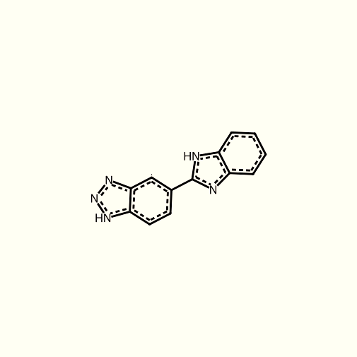 [c]1c(-c2nc3ccccc3[nH]2)ccc2[nH]nnc12